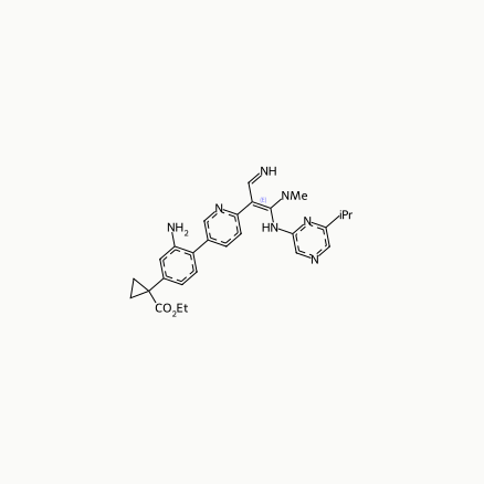 CCOC(=O)C1(c2ccc(-c3ccc(/C(C=N)=C(/NC)Nc4cncc(C(C)C)n4)nc3)c(N)c2)CC1